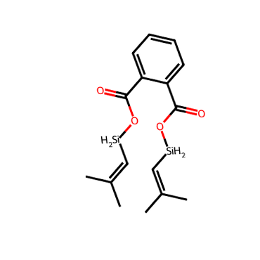 CC(C)=C[SiH2]OC(=O)c1ccccc1C(=O)O[SiH2]C=C(C)C